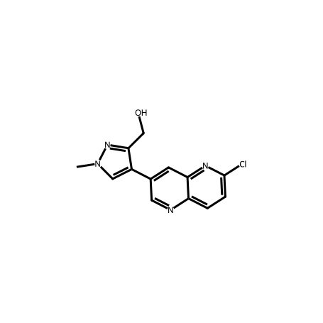 Cn1cc(-c2cnc3ccc(Cl)nc3c2)c(CO)n1